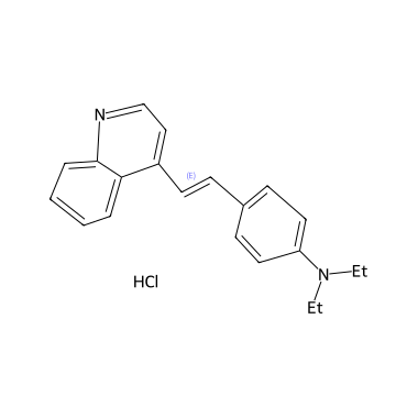 CCN(CC)c1ccc(/C=C/c2ccnc3ccccc23)cc1.Cl